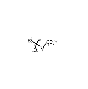 CCC(C)(Br)OC(=O)O